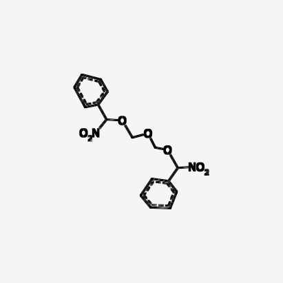 O=[N+]([O-])C(OCOCOC(c1ccccc1)[N+](=O)[O-])c1ccccc1